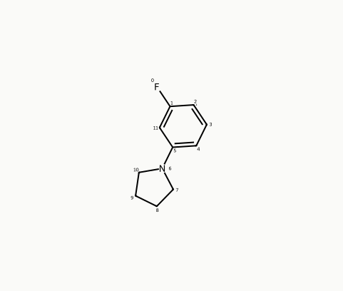 Fc1[c]ccc(N2CCCC2)c1